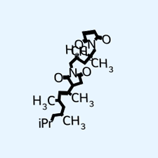 C/C(=C\C(C)CC(C)CC(C)C)C1CC(=O)N(CC(C)CC(C)(C)CN2C(=O)C=CC2=O)C1=O